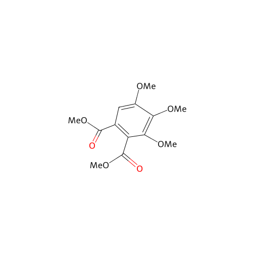 COC(=O)c1cc(OC)c(OC)c(OC)c1C(=O)OC